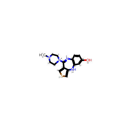 CN1CCN(C2=Nc3ccc(O)cc3Nc3cscc32)CC1